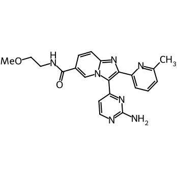 COCCNC(=O)c1ccc2nc(-c3cccc(C)n3)c(-c3ccnc(N)n3)n2c1